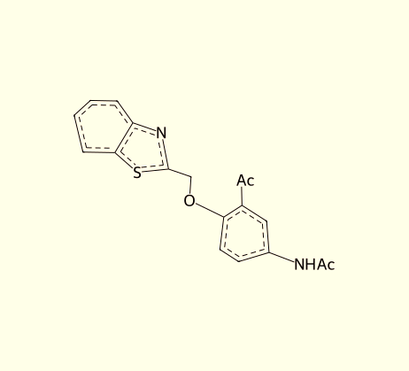 CC(=O)Nc1ccc(OCc2nc3ccccc3s2)c(C(C)=O)c1